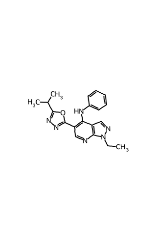 CCn1ncc2c(Nc3ccccc3)c(-c3nnc(C(C)C)o3)cnc21